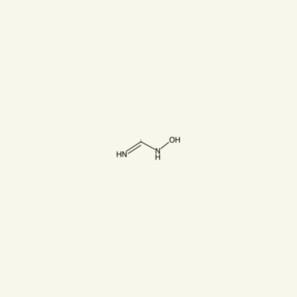 N=[C]NO